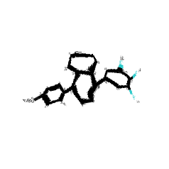 CCCCc1ccc(-c2ccc(-c3cc(F)c(F)c(F)c3)c3ccccc23)cc1